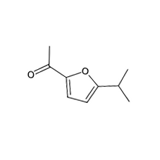 CC(=O)c1ccc(C(C)C)o1